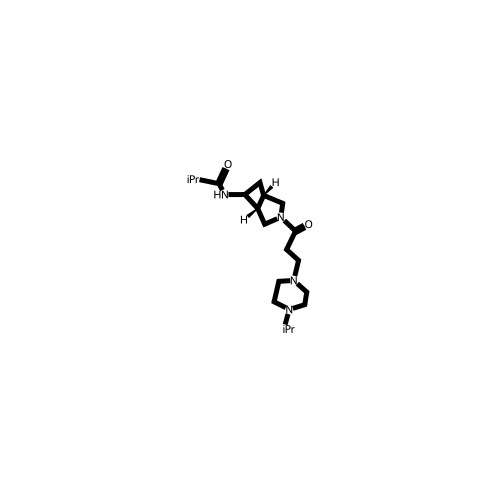 CC(C)C(=O)NC1C[C@@H]2CN(C(=O)CCN3CCN(C(C)C)CC3)C[C@H]12